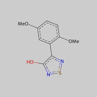 COc1ccc(OC)c(-c2nsnc2O)c1